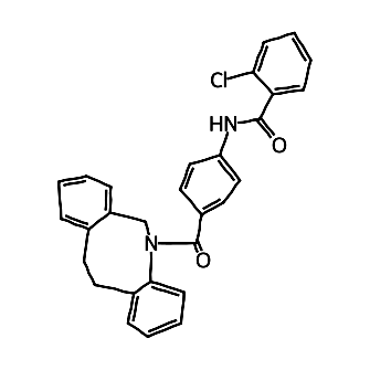 O=C(Nc1ccc(C(=O)N2Cc3ccccc3CCc3ccccc32)cc1)c1ccccc1Cl